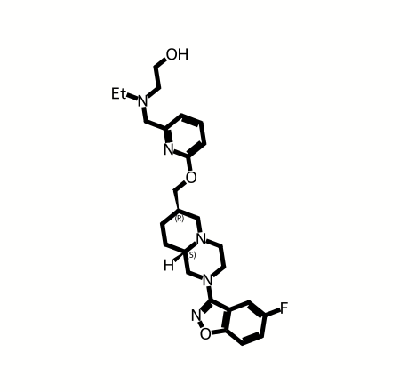 CCN(CCO)Cc1cccc(OC[C@@H]2CC[C@H]3CN(c4noc5ccc(F)cc45)CCN3C2)n1